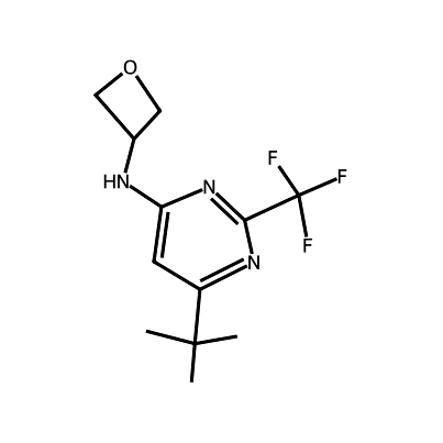 CC(C)(C)c1cc(NC2COC2)nc(C(F)(F)F)n1